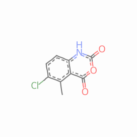 Cc1c(Cl)ccc2[nH]c(=O)oc(=O)c12